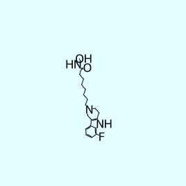 O=C(CCCCCCCN1CCc2[nH]c3c(F)cccc3c2C1)NO